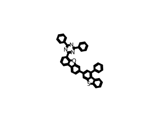 c1ccc(-c2nc(-c3ccccc3)nc(-c3cccc4c3oc3cc(-c5cc(-c6ccccc6)c6c(c5)sc5ccccc56)ccc34)n2)cc1